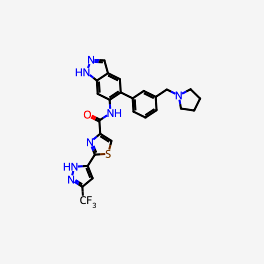 O=C(Nc1cc2[nH]ncc2cc1-c1cccc(CN2CCCC2)c1)c1csc(-c2cc(C(F)(F)F)n[nH]2)n1